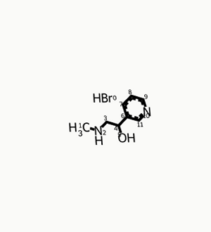 Br.CNCC(O)c1cccnc1